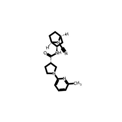 Cc1cccc(N2CC[C@H](C(=O)N[C@@H]3C[C@@H]4CC[C@H]3N4C#N)C2)n1